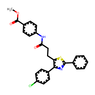 COC(=O)c1ccc(NC(=O)CCc2sc(-c3ccccc3)nc2-c2ccc(Cl)cc2)cc1